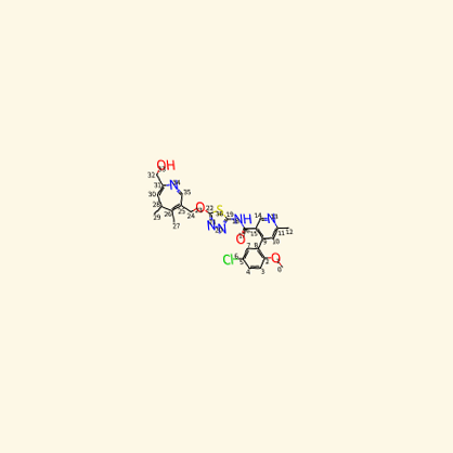 COc1ccc(Cl)cc1-c1cc(C)ncc1C(=O)Nc1nnc(OCC2=C(C)C(C)C=C(CO)N=C2)s1